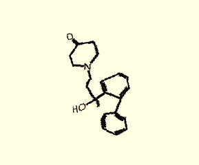 CC(O)(CCN1CCC(=O)CC1)c1ccccc1-c1ccccc1